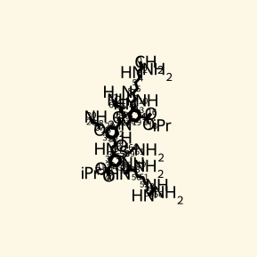 C=C(N)NCCC[C@@H](N)C(=N)Nc1cc(C(=O)OC(C)C)cc(NC(=O)c2cc(OCCN)cc(C(=O)Nc3cc(C(=O)OC(C)C)cc(NC(=N)[C@H](N)CCCNC(=N)N)c3SCCN)c2)c1SCCN